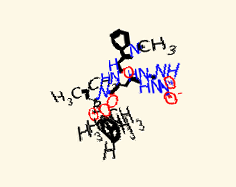 CC(C)C[C@H](NC(=O)[C@H](CCCNC(=N)N[N+](=O)[O-])NC(=O)Cc1cn(C)c2ccccc12)B1O[C@@H]2C[C@@H]3C[C@@H](C3(C)C)[C@]2(C)O1